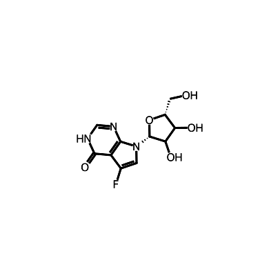 O=c1[nH]cnc2c1c(F)cn2[C@@H]1O[C@H](CO)C(O)C1O